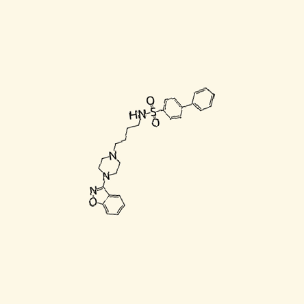 O=S(=O)(NCCCCN1CCN(c2noc3ccccc23)CC1)c1ccc(-c2ccccc2)cc1